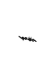 CCCCc1ccc(-c2ccc(OCc3ccc(C4CCC(CCC)CC4)c(F)c3F)cc2)c(F)c1